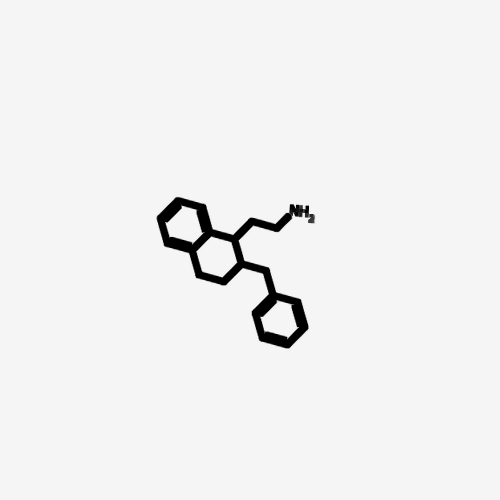 NCCC1c2ccccc2CCC1Cc1ccccc1